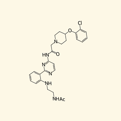 CC(=O)NCCNc1ccccc1-c1nccc(NC(=O)CN2CCC(Oc3ccccc3Cl)CC2)n1